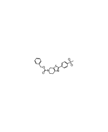 CS(=O)(=O)c1ccc(-c2nc3c(s2)CN(C(=O)OCc2ccccc2)CC3)cc1